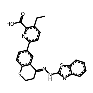 CCc1ccc(-c2ccc3c(c2)/C(=N/Nc2nc4ccccc4s2)CCS3)nc1C(=O)O